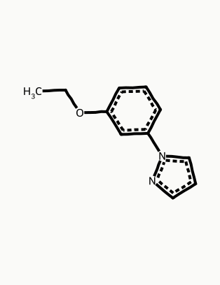 CCOc1cccc(-n2cccn2)c1